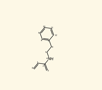 C=CC(=C)NCCc1ccccc1